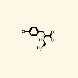 C=CN[C@@H](Cc1ccc(Cl)cc1)C(=O)O